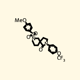 COc1ccc(S(=O)(=O)N2CCCC3(CCN(c4ccc(OC(F)(F)F)cc4)C3=O)C2)cc1